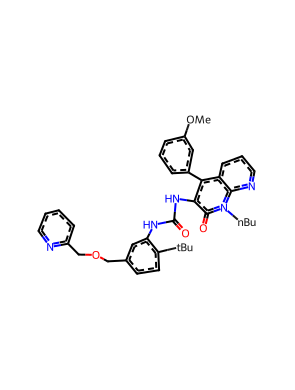 CCCCn1c(=O)c(NC(=O)Nc2cc(COCc3ccccn3)ccc2C(C)(C)C)c(-c2cccc(OC)c2)c2cccnc21